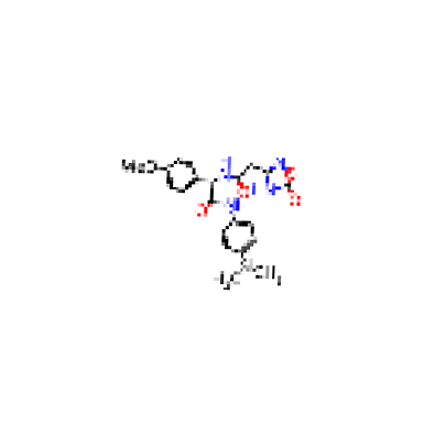 COc1ccc(C(NC(=O)Cc2noc(=O)[nH]2)C(=O)Nc2ccc([SiH](C)C)cc2)cc1